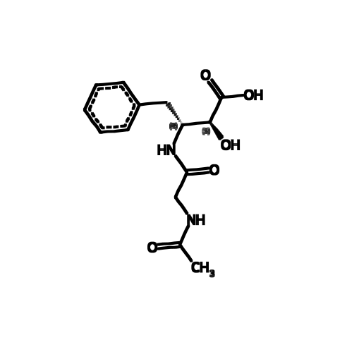 CC(=O)NCC(=O)N[C@H](Cc1ccccc1)[C@H](O)C(=O)O